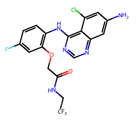 Nc1cc(Cl)c2c(Nc3ccc(F)cc3OCC(=O)NCC(F)(F)F)ncnc2c1